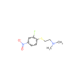 CN(C)CCSc1ccc([N+](=O)[O-])cc1F